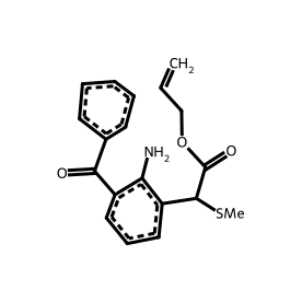 C=CCOC(=O)C(SC)c1cccc(C(=O)c2ccccc2)c1N